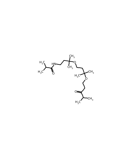 CC(C)C(=O)CCOC(C)(C)CCOC(C)(C)CCNC(=O)C(C)C